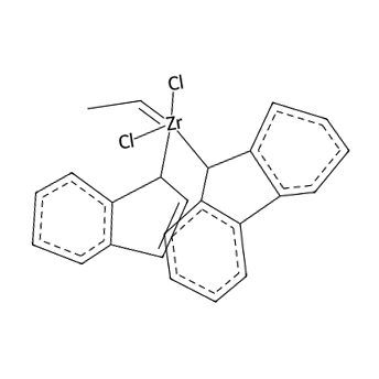 C[CH]=[Zr]([Cl])([Cl])([CH]1C=Cc2ccccc21)[CH]1c2ccccc2-c2ccccc21